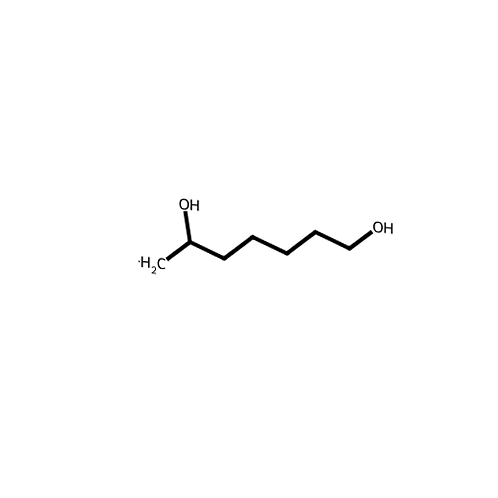 [CH2]C(O)CCCCCO